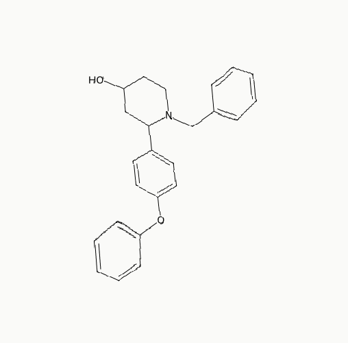 OC1CCN(Cc2ccccc2)C(c2ccc(Oc3ccccc3)cc2)C1